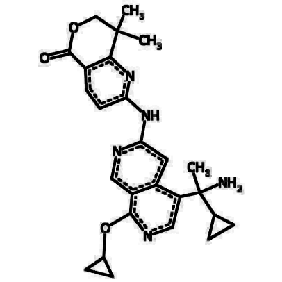 CC1(C)COC(=O)c2ccc(Nc3cc4c(C(C)(N)C5CC5)cnc(OC5CC5)c4cn3)nc21